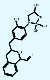 O=CC1NC(Cc2ccc(N3CC(O)NS3(O)O)c(O)c2)Cc2ccccc21